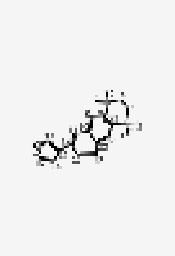 CC1(C)CCC(C)(C)c2cc3cc(-c4ccsc4)ccc3cc21